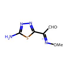 CO/N=C(\[C]=O)c1nnc(N)s1